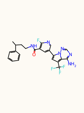 CC(CCNC(=O)c1cc(-c2cc(C(F)(F)F)c3c(N)ncnn23)cnc1F)c1ccccc1